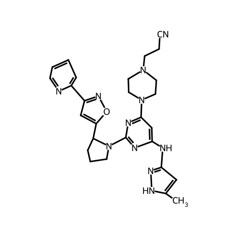 Cc1cc(Nc2cc(N3CCN(CCC#N)CC3)nc(N3CCCC3c3cc(-c4ccccn4)no3)n2)n[nH]1